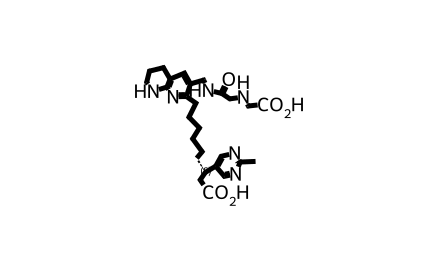 Cc1ncc([C@@H](CCCCCCc2nc3c(cc2CNC(=O)CNCC(=O)O)CCCN3)CC(=O)O)cn1